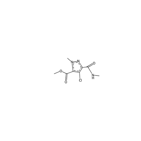 CNC(=O)c1nn(C)c(C(=O)OC)c1Cl